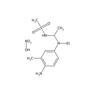 CCN(c1ccc(N)c(C)c1)C(C)NS(C)(=O)=O.O=[N+]([O-])O